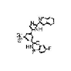 C[C@@H](NC(=O)c1cc(-c2cnc(-c3cc4ccccc4cn3)[nH]2)cc([N+](=O)[O-])c1)c1ccc(F)cc1